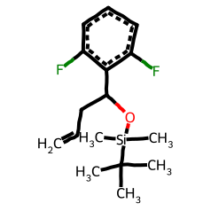 C=CCC(O[Si](C)(C)C(C)(C)C)c1c(F)cccc1F